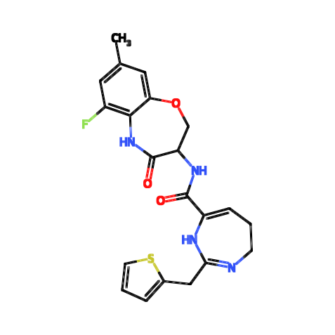 Cc1cc(F)c2c(c1)OCC(NC(=O)C1=CCCN=C(Cc3cccs3)N1)C(=O)N2